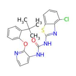 CC(C)(C)c1ccccc1Oc1ncccc1NC(=O)Nc1nc2c(Cl)cccc2s1